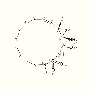 CN1CCCCCCCC/C=C\[C@@H]2C[C@]2(N)C(=O)NS1(=O)=O